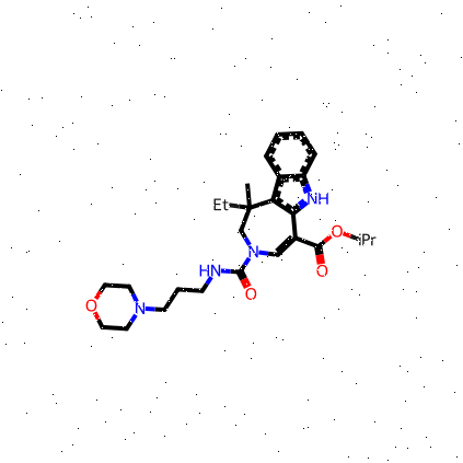 CCC1(C)CN(C(=O)NCCCN2CCOCC2)C=C(C(=O)OC(C)C)c2[nH]c3ccccc3c21